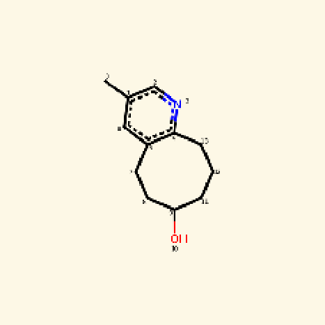 Cc1cnc2c(c1)CCC(O)CCC2